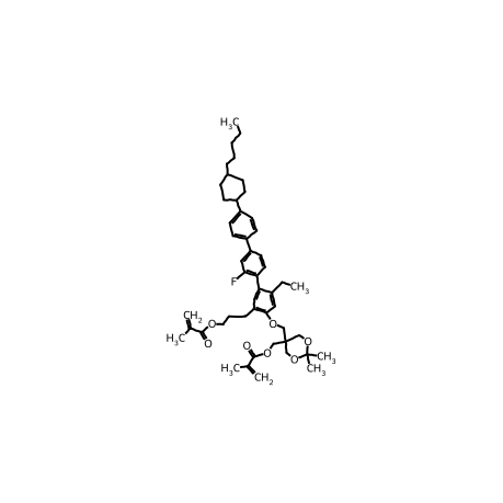 C=C(C)C(=O)OCCCc1cc(-c2ccc(-c3ccc(C4CCC(CCCCC)CC4)cc3)cc2F)c(CC)cc1OCC1(COC(=O)C(=C)C)COC(C)(C)OC1